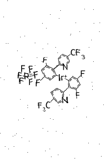 F[P-](F)(F)(F)(F)F.Fc1cc(F)c(-c2ccc(C(F)(F)F)cn2)[c]([Ir+][c]2cc(F)cc(F)c2-c2ccc(C(F)(F)F)cn2)c1